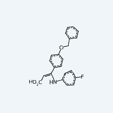 O=C(O)/C=C(\Nc1ccc(F)cc1)c1ccc(OCc2ccccc2)cc1